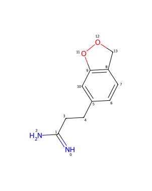 N=C(N)CCc1ccc2c(c1)OOC2